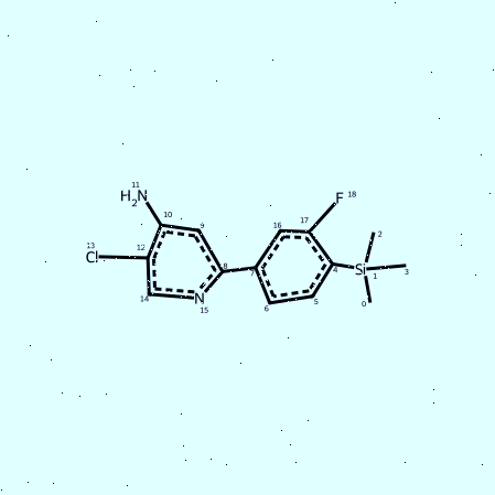 C[Si](C)(C)c1ccc(-c2cc(N)c(Cl)cn2)cc1F